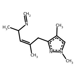 C=NC(C)/C=C(/C)Cc1nn(C)cc1C